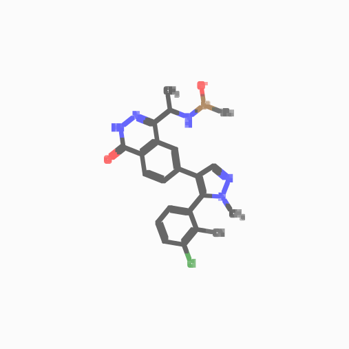 CC(N[S+]([O-])C(C)(C)C)c1n[nH]c(=O)c2ccc(-c3cnn(C)c3-c3cccc(Cl)c3C#N)cc12